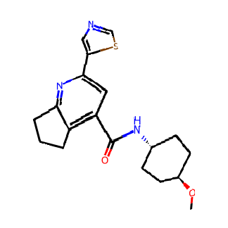 CO[C@H]1CC[C@H](NC(=O)c2cc(-c3cncs3)nc3c2CCC3)CC1